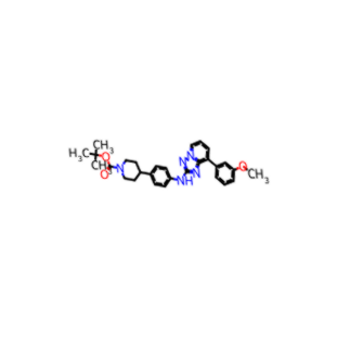 COc1cccc(-c2cccn3nc(Nc4ccc(C5CCN(C(=O)OC(C)(C)C)CC5)cc4)nc23)c1